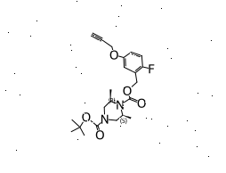 C#CCOc1ccc(F)c(COC(=O)N2[C@H](C)CN(C(=O)OC(C)(C)C)C[C@@H]2C)c1